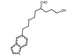 O=CN(CCCO)CCOCCc1ccc2sccc2c1